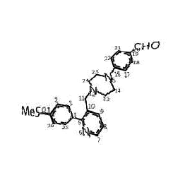 CSc1ccc(-c2ncccc2CN2CCN(c3ccc(C=O)cc3)CC2)cc1